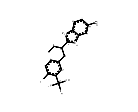 CC[C](Cc1ccc(F)c(C(F)(F)F)c1)c1nc2cc(Cl)ccc2o1